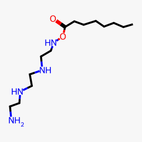 CCCCCCCC(=O)ONCCNCCNCCN